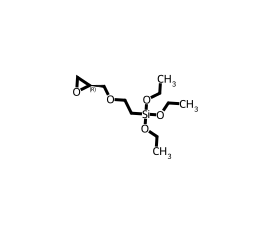 CCO[Si](CCOC[C@@H]1CO1)(OCC)OCC